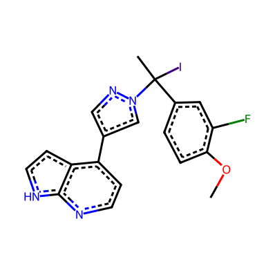 COc1ccc(C(C)(I)n2cc(-c3ccnc4[nH]ccc34)cn2)cc1F